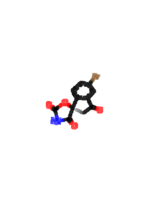 O=C1NC(=O)[C@@]2(CC(=O)c3cc(Br)ccc32)O1